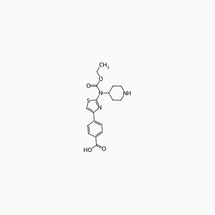 CCOC(=O)N(c1nc(-c2ccc(C(=O)O)cc2)cs1)C1CCNCC1